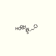 OC(O)/C=C/c1csc(C/C=C/c2ccccc2)n1